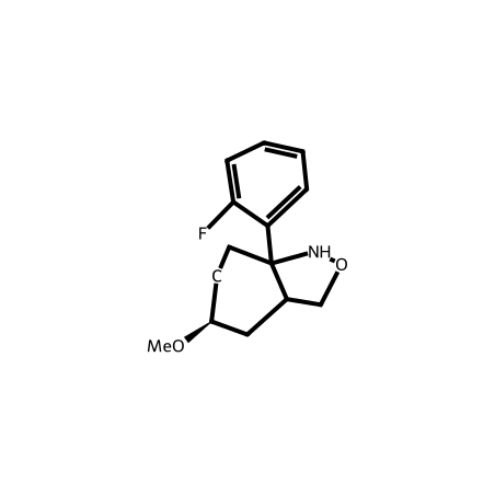 CO[C@H]1CCC2(c3ccccc3F)NOCC2C1